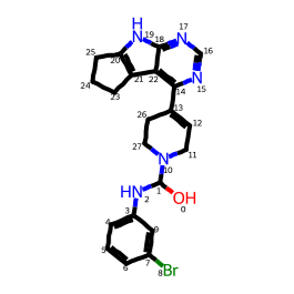 OC(Nc1cccc(Br)c1)N1CC=C(c2ncnc3[nH]c4c(c23)CCC4)CC1